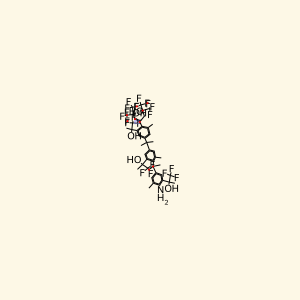 Cc1cc(C(C)(C)c2c(C)cc(C(C)(C)c3cc(C)c(/C(=C/C(O)(C(F)(F)F)C(F)(F)F)CC(O)(C(F)(F)F)C(F)(F)F)c(C(C)(O)C(F)(F)F)c3)cc2C(C)(O)C(F)(F)F)cc(C(C)(O)C(F)(F)F)c1N